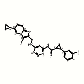 O=C(Nc1cc(NCc2nc3ccc(C4CC4)cn3c2F)ncn1)C1CC1c1cccc(Cl)c1